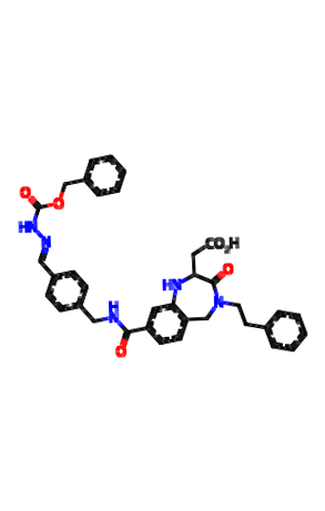 O=C(O)CC1Nc2cc(C(=O)NCc3ccc(C=NNC(=O)OCc4ccccc4)cc3)ccc2CN(CCc2ccccc2)C1=O